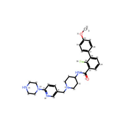 O=C(NC1CCN(Cc2ccc(N3CCNCC3)nc2)CC1)c1cccc(-c2ccc(OC(F)(F)F)cc2)c1F